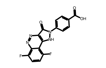 O=C(O)c1ccc(-n2[nH]c3c(nnc4c(F)ccc(F)c43)c2=O)cc1